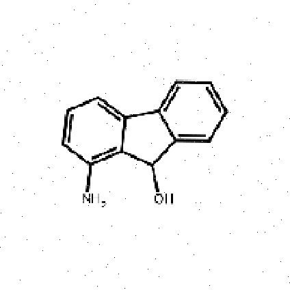 Nc1cccc2c1C(O)c1ccccc1-2